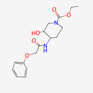 CCOC(=O)N1CCC(NC(=O)COc2ccccc2)C(O)C1